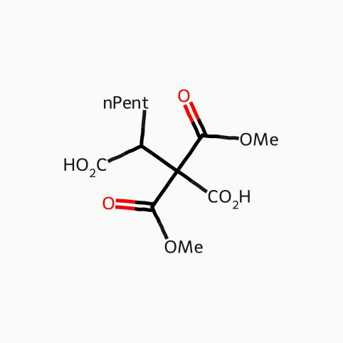 CCCCCC(C(=O)O)C(C(=O)O)(C(=O)OC)C(=O)OC